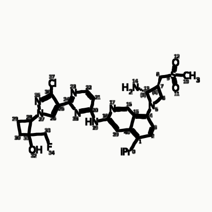 CC(C)c1ccc(N2C[C@H](CS(C)(=O)=O)[C@H]2N)c2cnc(Nc3ccnc(-c4cn(C5CCC5(O)CF)nc4Cl)n3)cc12